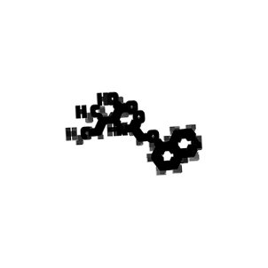 CC[C@H](C)[C@H](NC(=O)COc1cccc2cnccc12)C(=O)O